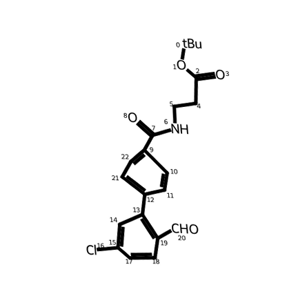 CC(C)(C)OC(=O)CCNC(=O)c1ccc(-c2cc(Cl)ccc2C=O)cc1